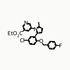 CCOC(=O)c1cncc(-n2c(C)ccc2-c2cc(Cl)ccc2OCc2ccc(F)cc2)c1